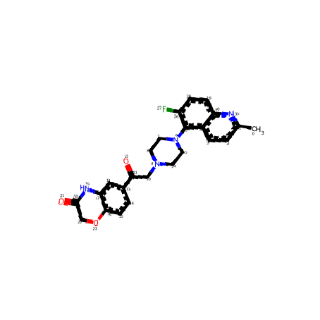 Cc1ccc2c(N3CCN(CC(=O)c4ccc5c(c4)NC(=O)CO5)CC3)c(F)ccc2n1